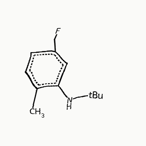 Cc1ccc(F)cc1NC(C)(C)C